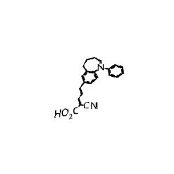 N#C/C(=C\C=C\c1ccc2c(c1)CCCCN2c1ccccc1)C(=O)O